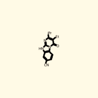 CCc1c(C(C)C)nc2[nH]c3cc(C#N)ccc3n2c1=O